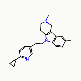 Cc1ccc2c(c1)c1c(n2CCc2ccc(C3CC3)nc2)CCN(C)C1